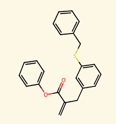 C=C(Cc1cccc(SCc2ccccc2)c1)C(=O)Oc1ccccc1